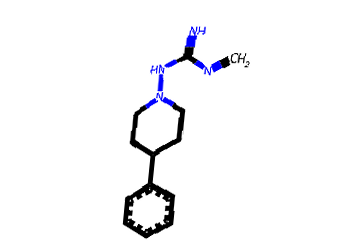 C=NC(=N)NN1CCC(c2ccccc2)CC1